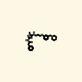 Cn1nc(NC(=O)Cc2ccccc2)nc1NCCCOc1cccc(CN2CCCCC2)c1